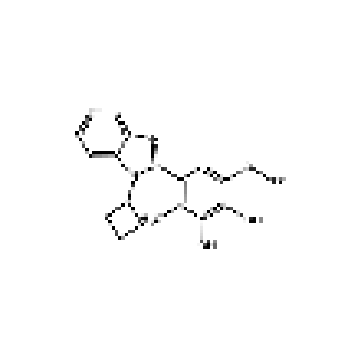 Cc1c(-c2nc3ccccc3n2C2CCC2)cc(OC(C)C)c(O)c1O